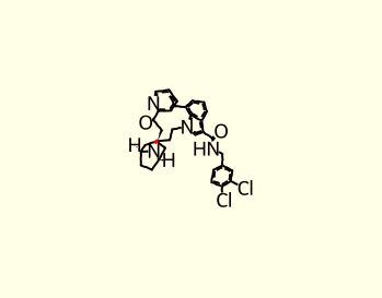 CCc1cccc2c(C(=O)NCc3ccc(Cl)c(Cl)c3)cn(CCCN3[C@@H]4CC[C@H]3C[C@@H](CC(=O)c3ccccn3)C4)c12